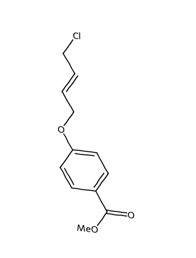 COC(=O)c1ccc(OCC=CCCl)cc1